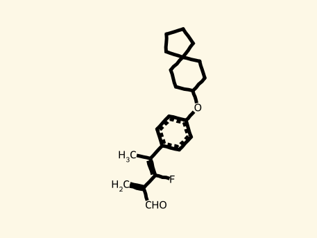 C=C(C=O)/C(F)=C(\C)c1ccc(OC2CCC3(CCCC3)CC2)cc1